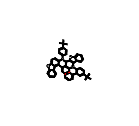 Cc1cc2c3c(c1)N(c1ccc(C(C)(C)C)cc1-c1ccccc1)c1c(sc4ccccc14)B3N(c1ccc(C(C)(C)C)cc1)c1ccc3oc4ccccc4c3c1-2